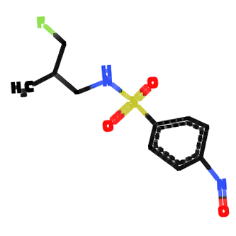 CC(CF)CNS(=O)(=O)c1ccc(N=O)cc1